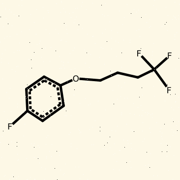 Fc1ccc(OCCCC(F)(F)F)cc1